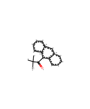 CCC(C)(C)C(=O)c1c2ccccc2cc2ccccc12